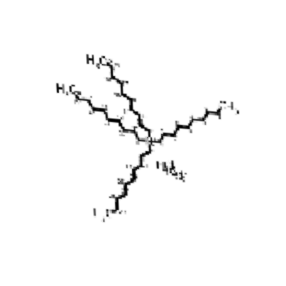 CCCCCCCCCC[N+](CCCCCCCCCC)(CCCCCCCCCC)CCCCCCCCCC.Cl.Cl.[Cl-]